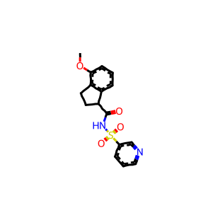 COc1cccc2c1CCC2C(=O)NS(=O)(=O)c1cccnc1